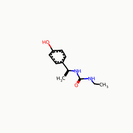 C=C(NC(=O)NCC)c1ccc(O)cc1